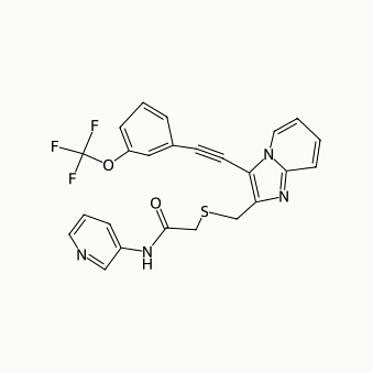 O=C(CSCc1nc2ccccn2c1C#Cc1cccc(OC(F)(F)F)c1)Nc1cccnc1